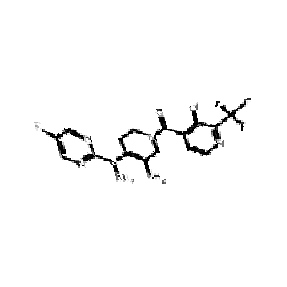 NC1=C(N(N)c2ncc(F)cn2)CCN(C(=O)c2ccnc(C(F)(F)F)c2Cl)C1